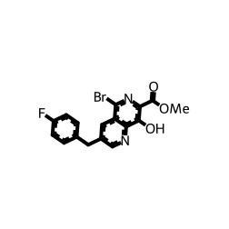 COC(=O)c1nc(Br)c2cc(Cc3ccc(F)cc3)cnc2c1O